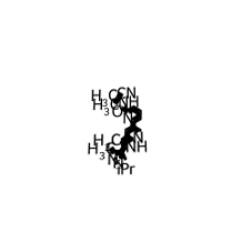 Cc1nn(C(C)C)cc1-c1[nH]c2ncc(-c3cccc(C(=O)NC(C)(C)C#N)n3)cc2c1C